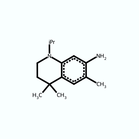 Cc1cc2c(cc1N)N(C(C)C)CCC2(C)C